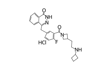 Cl.O=C(c1cc(Cc2n[nH]c(=O)c3ccccc23)ccc1F)N1CC(CCNC2CCC2)C1